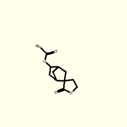 CCC(C)C(=O)OC1CC2CC1CC21CCOC1=O